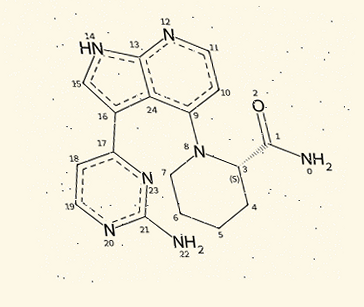 NC(=O)[C@@H]1CCCCN1c1ccnc2[nH]cc(-c3ccnc(N)n3)c12